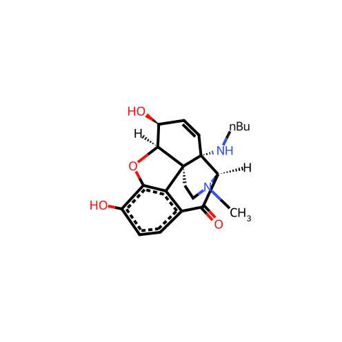 CCCCN[C@@]12C=C[C@H](O)[C@@H]3Oc4c(O)ccc5c4[C@@]31CCN(C)[C@@H]2C5=O